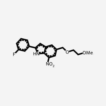 COCCOCc1cc([N+](=O)[O-])c2[nH]c(-c3cccc(F)c3)cc2c1